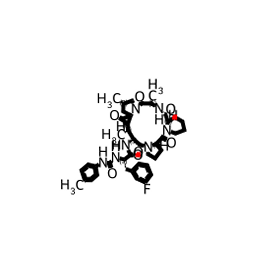 Cc1ccc(NC(=O)N[C@@H](Cc2cccc(F)c2)C(=O)N[C@@H]2C(=O)N3CCC[C@H]3C(=O)N3CCCC[C@H]3C(=O)N[C@@H](C)C(=O)N3C[C@H](C)CC34C(=O)[C@@H]4[C@H]2C)cc1